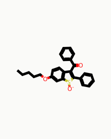 CCCCCOc1ccc2c(C(=O)c3ccccc3)c(-c3ccccc3)[s+]([O-])c2c1